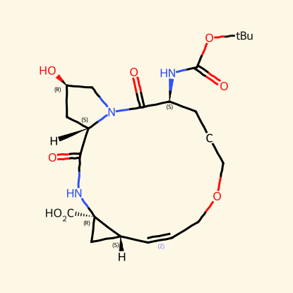 CC(C)(C)OC(=O)N[C@H]1CCCOC/C=C\[C@@H]2C[C@@]2(C(=O)O)NC(=O)[C@@H]2C[C@@H](O)CN2C1=O